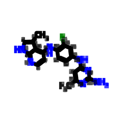 Cc1c[nH]c2nccc(Nc3ccc(Nc4cc(C(F)(F)F)nc(N)n4)cc3F)c12